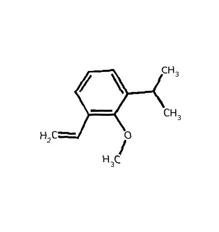 C=Cc1cccc(C(C)C)c1OC